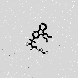 CCCC1(CCC)c2ccccc2-c2ccc(C(C)(C)C(=O)C(C)/C=N/OC=O)cc21